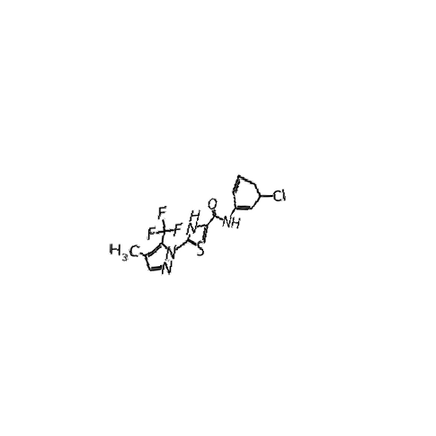 Cc1cnn(C2NC(C(=O)NC3=CC(Cl)CC=C3)=CS2)c1C(F)(F)F